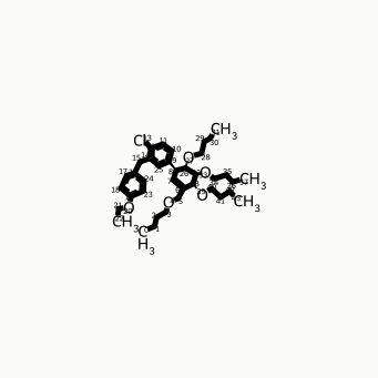 CCCCOCC1=C[C@@H](c2ccc(Cl)c(Cc3ccc(OCC)cc3)c2)[C@H](OCCCC)[C@@H](OCCCC)[C@@H]1OCCCC